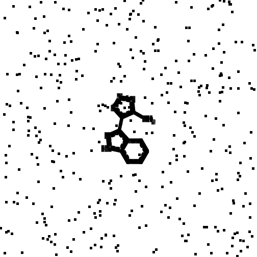 Nc1nnsc1-c1n[nH]c2ccccc12